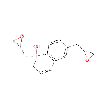 OC1(CC2CO2)CC=Cc2cc(CC3CO3)ccc21